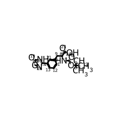 CC(C)(C)OC(=O)NC(Cc1cccc(-c2noc(=O)[nH]2)c1)C(=O)O